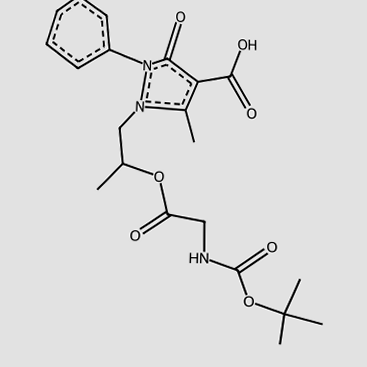 Cc1c(C(=O)O)c(=O)n(-c2ccccc2)n1CC(C)OC(=O)CNC(=O)OC(C)(C)C